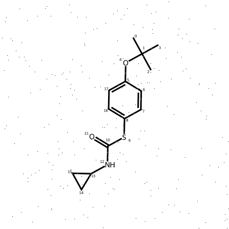 CC(C)(C)Oc1ccc(SC(=O)NC2CC2)cc1